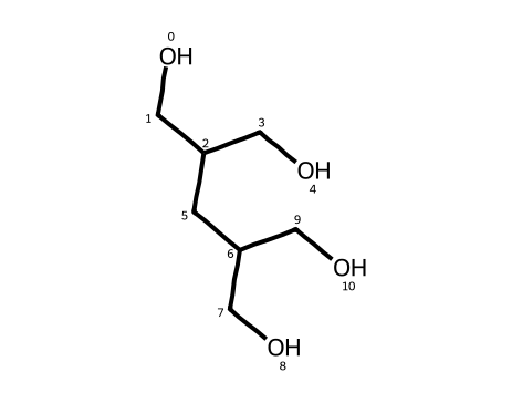 OCC(CO)CC(CO)CO